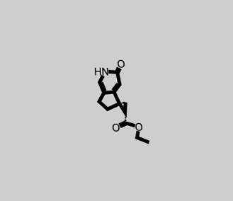 CCOC(=O)[C@H]1C[C@@]12CCc1c[nH]c(=O)cc12